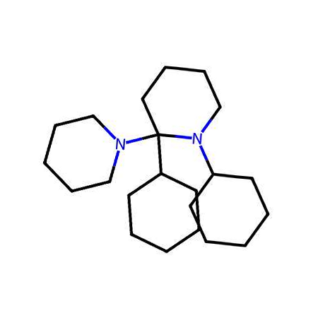 C1CCC(N2CCCCC2(C2CCCCC2)N2CCCCC2)CC1